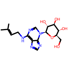 CC(C)=CCNc1ncn([C@@H]2O[C@H](CO)[C@@H](O)[C@H](O)[C@H]2O)c2ncnc1-2